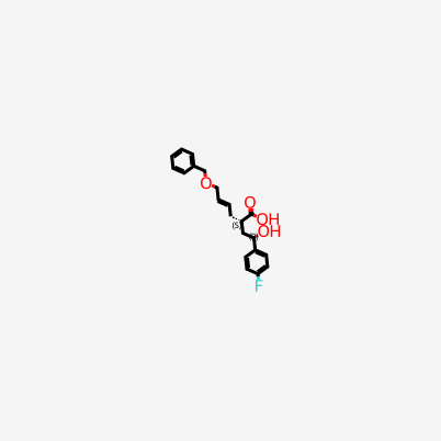 O=C(O)[C@@H](CC=CCOCc1ccccc1)C[C@@H](O)c1ccc(F)cc1